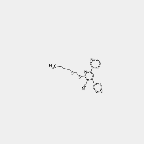 CCCCSCSc1nc(-c2cccnc2)cc(-c2ccncc2)c1C#N